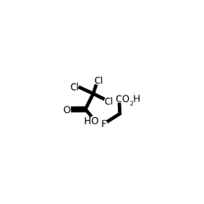 O=C(O)C(Cl)(Cl)Cl.O=C(O)CF